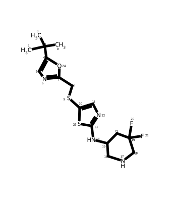 CC(C)(C)c1cnc(CSc2cnc(NC3CNCC(F)(F)C3)s2)o1